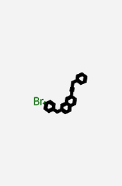 Brc1ccc(Cc2ccc3ccc(C#CCc4ccccc4)cc3c2)cc1